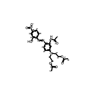 CC(=O)Nc1cc(N(CCOC(C)=O)CCOC(C)=O)ccc1/N=N/c1ccc([N+](=O)[O-])cc1O